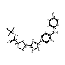 Cc1ccc(Nc2ccc(-c3noc([C@@H]4CCN(C(=O)OC(C)(C)C)C4)n3)cn2)cc1